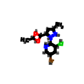 Bc1cc(C2OC(C)O2)n(-c2ncc(Br)cc2Cl)n1